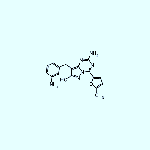 Cc1ccc(-c2nc(N)nc3c(Cc4cccc(N)c4)c(O)nn23)o1